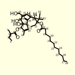 C/C=C(/C)C(=O)O[C@H]1C(C)=C[C@@]23CC[C@]4(OC(=O)CCCCCCCCCCC)[C@H]([C@H](C=C(CO)[C@@H](O)[C@]12O)C3=O)C4(C)C